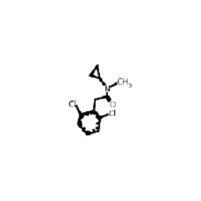 CN(C(=O)Cc1c(Cl)cccc1Cl)C1CC1